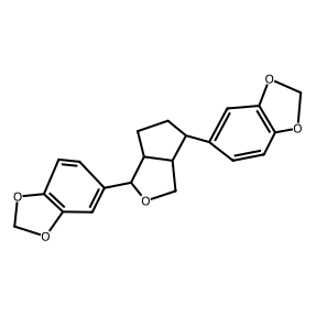 c1cc2c(cc1C1CCC3C(c4ccc5c(c4)OCO5)OCC13)OCO2